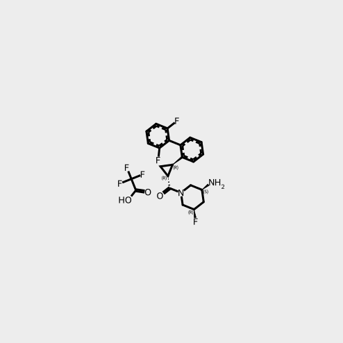 N[C@H]1C[C@@H](F)CN(C(=O)[C@@H]2C[C@H]2c2ccccc2-c2c(F)cccc2F)C1.O=C(O)C(F)(F)F